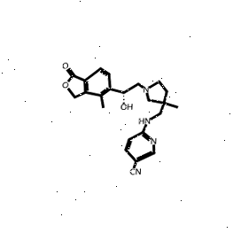 Cc1c([C@@H](O)CN2CCC(C)(CNc3ccc(C#N)cn3)C2)ccc2c1COC2=O